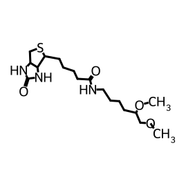 COCC(CCCCNC(=O)CCCCC1SCC2NC(=O)NC21)OC